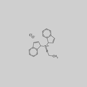 CC[B]=[Ti+2]([CH]1C=Cc2ccccc21)[CH]1C=Cc2ccccc21.[Cl-].[Cl-]